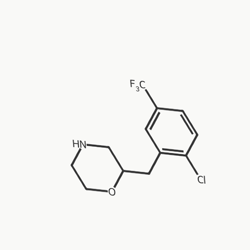 FC(F)(F)c1ccc(Cl)c(CC2CNCCO2)c1